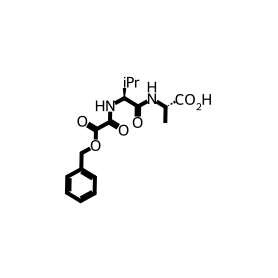 CC(C)[C@H](NC(=O)C(=O)OCc1ccccc1)C(=O)N[C@@H](C)C(=O)O